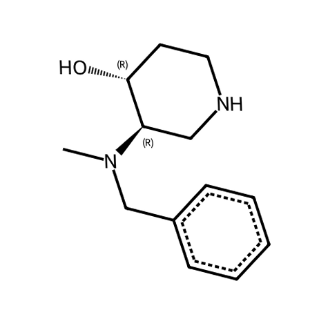 CN(Cc1ccccc1)[C@@H]1CNCC[C@H]1O